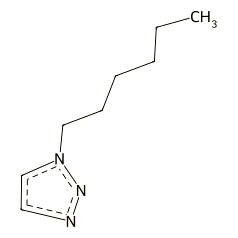 CCCCCCn1ccnn1